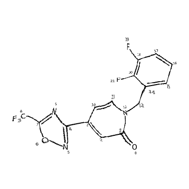 O=c1cc(-c2noc(C(F)(F)F)n2)ccn1Cc1cccc(F)c1F